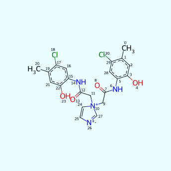 Cc1cc(O)c(NC(=O)C[N+]2(CC(=O)Nc3cc(Cl)c(C)cc3O)C=C[N+]=C2)cc1Cl